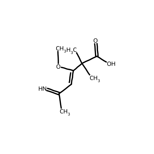 CO/C(=C\C(C)=N)C(C)(C)C(=O)O